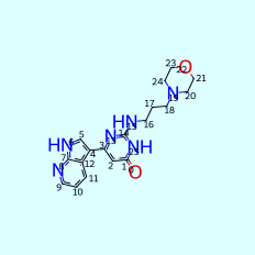 O=c1cc(-c2c[nH]c3ncccc23)nc(NCCCN2CCOCC2)[nH]1